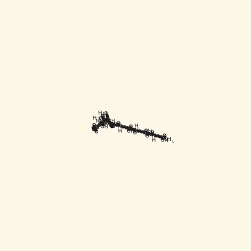 CSCC[C@H](NC(=O)c1cccc(OCC(=O)NCCCCCN(O)C(=O)CCC(=O)NCCCCCN(O)C(=O)CCC(=O)NCCCCCN(O)C(C)=O)c1)C(=O)N[C@H](C(=O)N[C@@H](CCCCN1C(=O)C=CC1=O)C(=O)O)C(C)C